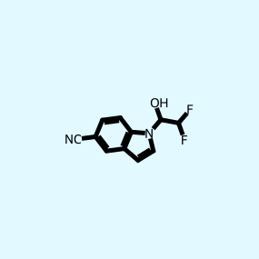 N#Cc1ccc2c(ccn2C(O)C(F)F)c1